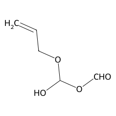 C=CCOC(O)OC=O